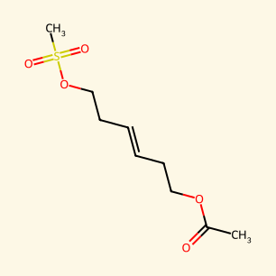 CC(=O)OCC/C=C/CCOS(C)(=O)=O